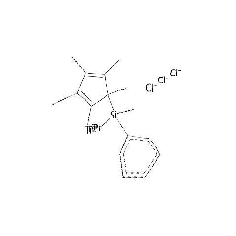 CCC[Si](C)(c1ccccc1)C1(C)C(C)=C(C)C(C)=[C]1[Ti+3].[Cl-].[Cl-].[Cl-]